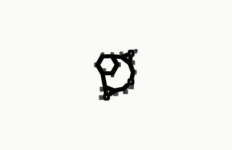 C1CC2CCC1C1OC1COCC1OC21